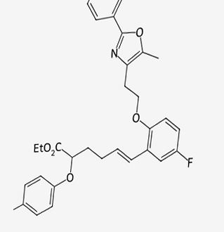 CCOC(=O)C(CC/C=C/c1cc(F)ccc1OCCc1nc(-c2ccccc2)oc1C)Oc1ccc(C(F)(F)F)cc1